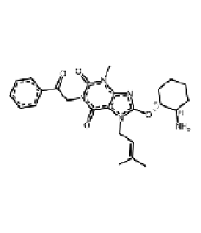 CC(C)=CCn1c(O[C@@H]2CCCC[C@H]2N)nc2c1c(=O)n(CC(=O)c1ccccc1)c(=O)n2C